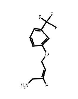 NC/C(F)=C\COc1cccc(C(F)(F)F)c1